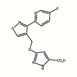 O=C(O)c1cc(OCc2conc2-c2ccc(F)cn2)n[nH]1